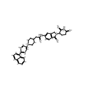 O=C1CCC(N2Cc3cc(NC(=O)CC4CCN(c5cnc(-c6cccc7ccccc67)nc5)CC4)ccc3C2=O)C(=O)N1